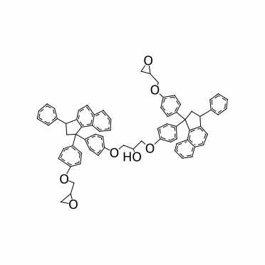 OC(COc1ccc(C2(c3ccc(OCC4CO4)cc3)CC(c3ccccc3)c3ccc4ccccc4c32)cc1)COc1ccc(C2(c3ccc(OCC4CO4)cc3)CC(c3ccccc3)c3ccc4ccccc4c32)cc1